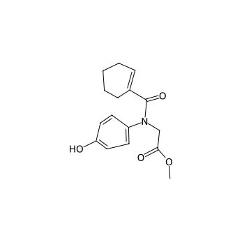 COC(=O)CN(C(=O)C1=CCCCC1)c1ccc(O)cc1